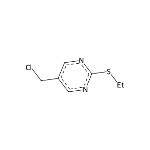 CCSc1ncc(CCl)cn1